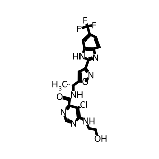 C[C@@H](NC(=O)c1ncnc(NCCO)c1Cl)c1cc(-c2nc3ccc(C(F)(F)F)cc3[nH]2)no1